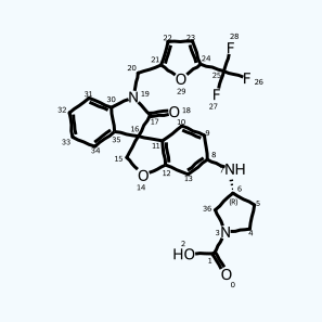 O=C(O)N1CC[C@@H](Nc2ccc3c(c2)OCC32C(=O)N(Cc3ccc(C(F)(F)F)o3)c3ccccc32)C1